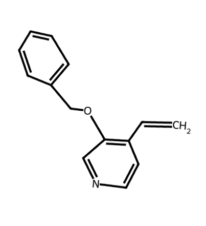 C=Cc1ccncc1OCc1ccccc1